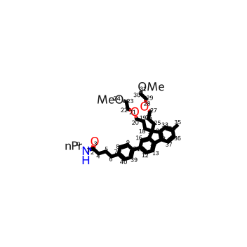 CCCNC(=O)CCCc1ccc(-c2ccc3c(c2)C(CCCOCCOC)(CCCOCCOC)c2cc(C)ccc2-3)cc1